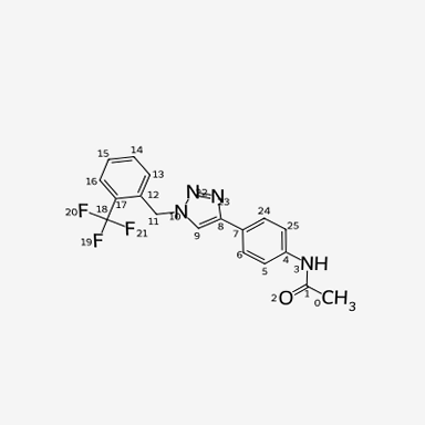 CC(=O)Nc1ccc(-c2cn(Cc3ccccc3C(F)(F)F)nn2)cc1